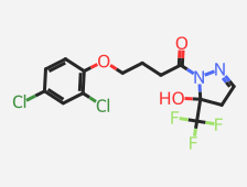 O=C(CCCOc1ccc(Cl)cc1Cl)N1N=CCC1(O)C(F)(F)F